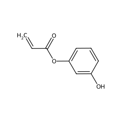 C=CC(=O)Oc1cccc(O)c1